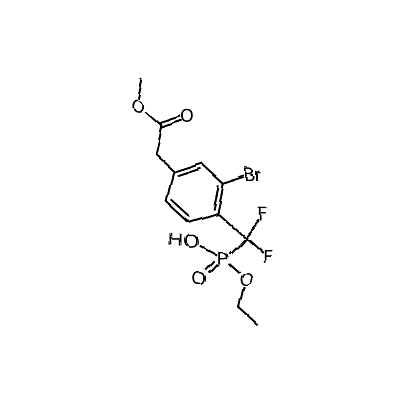 CCOP(=O)(O)C(F)(F)c1ccc(CC(=O)OC)cc1Br